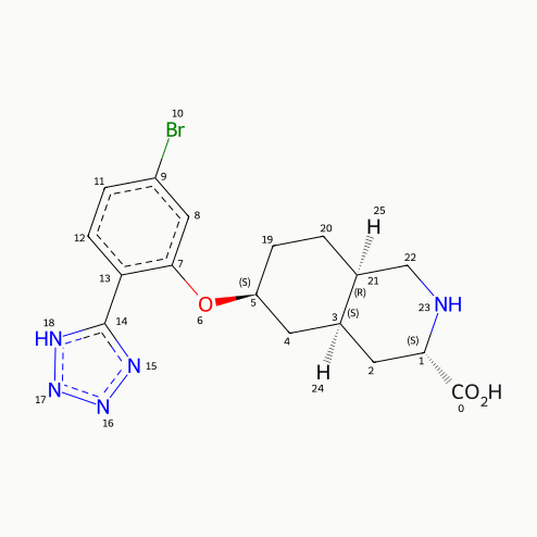 O=C(O)[C@@H]1C[C@H]2C[C@@H](Oc3cc(Br)ccc3-c3nnn[nH]3)CC[C@H]2CN1